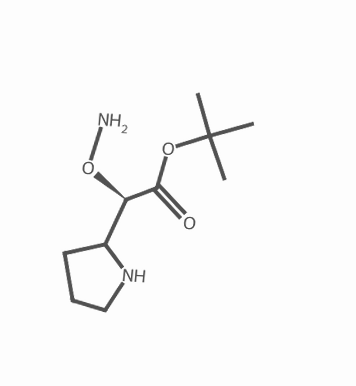 CC(C)(C)OC(=O)[C@H](ON)C1CCCN1